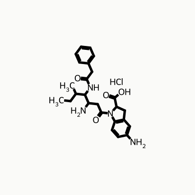 CCC(C)C(NC(=O)Cc1ccccc1)C(N)CC(=O)N1c2ccc(N)cc2CC1C(=O)O.Cl